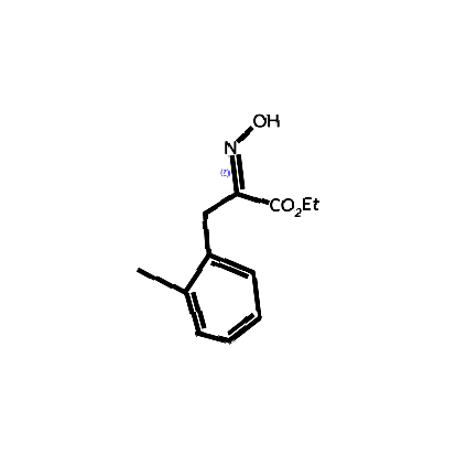 CCOC(=O)/C(Cc1ccccc1C)=N\O